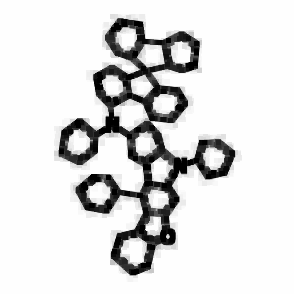 c1ccc(-c2c3c(cc4c2c2cc(N(c5ccccc5)c5cccc6c5-c5ccccc5C65c6ccccc6-c6ccccc65)ccc2n4-c2ccccc2)oc2ccccc23)cc1